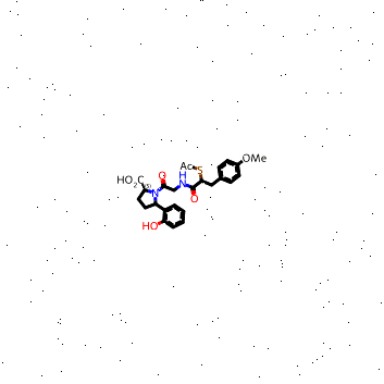 COc1ccc(CC(SC(C)=O)C(=O)NCC(=O)N2C(c3ccccc3O)CC[C@H]2C(=O)O)cc1